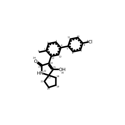 Cc1ccc(-c2ccc(Cl)cc2)cc1C1=C(O)C2(CCCC2)NC1=O